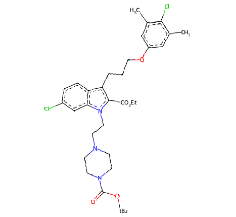 CCOC(=O)c1c(CCCOc2cc(C)c(Cl)c(C)c2)c2ccc(Cl)cc2n1CCN1CCN(C(=O)OC(C)(C)C)CC1